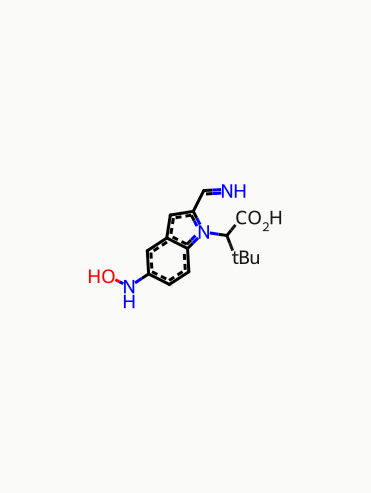 CC(C)(C)C(C(=O)O)n1c(C=N)cc2cc(NO)ccc21